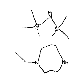 CCN1CCNCC1.C[Si](C)(C)N[Si](C)(C)C